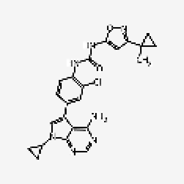 CC1(c2cc(NC(=O)Nc3ccc(-c4cn(C5CC5)c5ncnc(N)c45)cc3Cl)on2)CC1